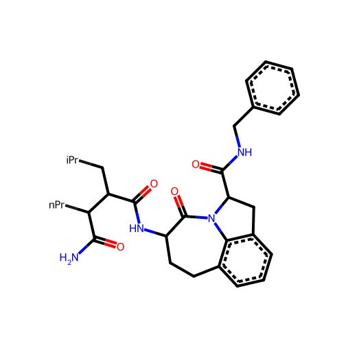 CCCC(C(N)=O)C(CC(C)C)C(=O)NC1CCc2cccc3c2N(C1=O)C(C(=O)NCc1ccccc1)C3